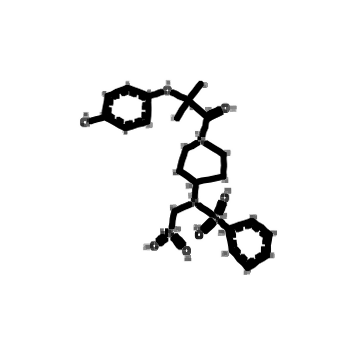 CC(C)(Oc1ccc(Cl)cc1)C(=O)N1CCC(N(C[SH](=O)=O)S(=O)(=O)c2ccccc2)CC1